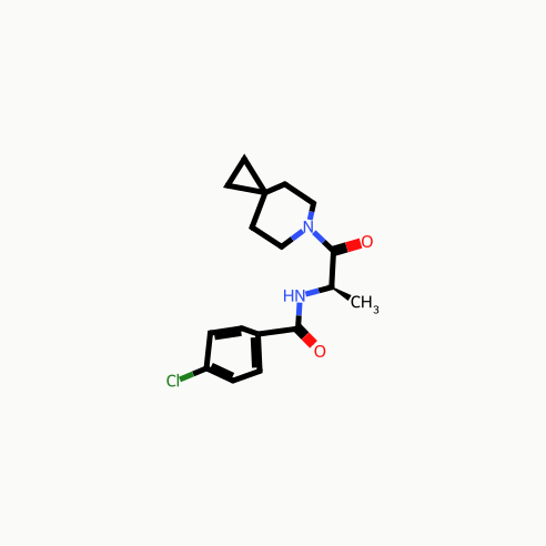 C[C@@H](NC(=O)c1ccc(Cl)cc1)C(=O)N1CCC2(CC1)CC2